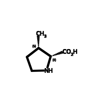 C[C@H]1CCN[C@H]1C(=O)O